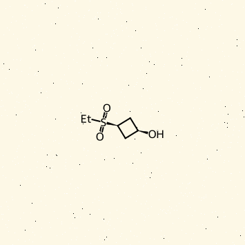 CCS(=O)(=O)[C@H]1C[C@@H](O)C1